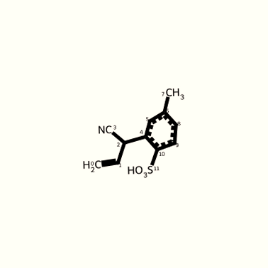 C=CC(C#N)c1cc(C)ccc1S(=O)(=O)O